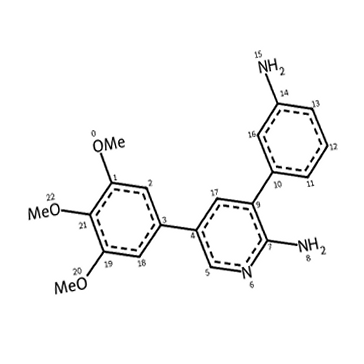 COc1cc(-c2cnc(N)c(-c3cccc(N)c3)c2)cc(OC)c1OC